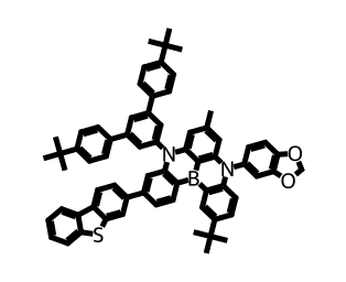 Cc1cc2c3c(c1)N(c1cc(-c4ccc(C(C)(C)C)cc4)cc(-c4ccc(C(C)(C)C)cc4)c1)c1cc(-c4ccc5c(c4)sc4ccccc45)ccc1B3c1cc(C(C)(C)C)ccc1N2c1ccc2c(c1)OCO2